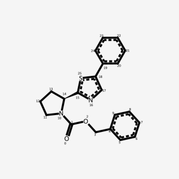 O=C(OCc1ccccc1)N1CCC[C@H]1c1ncc(-c2ccccc2)s1